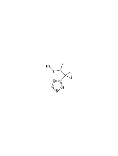 CC(SS)C1(c2nncs2)CC1